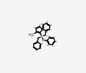 CC1=[C]([Zr]([CH2]c2ccccc2)([CH2]c2ccccc2)[O]c2ccccc2)CC=C1